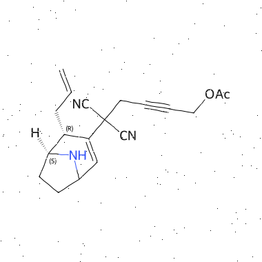 C=CC[C@@H]1C(C(C#N)(C#N)CC#CCOC(C)=O)=CC2CC[C@@H]1N2